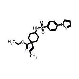 C/C=C/C1(C(=O)OCC)CCC(NS(=O)(=O)c2ccc(-n3cccn3)cc2)CC1